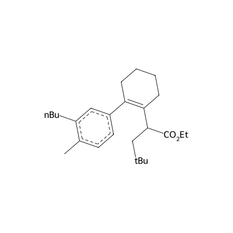 CCCCc1cc(C2=C(C(CC(C)(C)C)C(=O)OCC)CCCC2)ccc1C